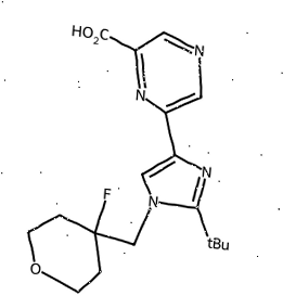 CC(C)(C)c1nc(-c2cncc(C(=O)O)n2)cn1CC1(F)CCOCC1